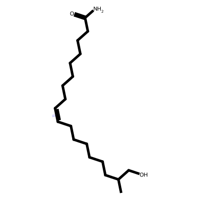 CC(CO)CCCCCC/C=C\CCCCCCCC(N)=O